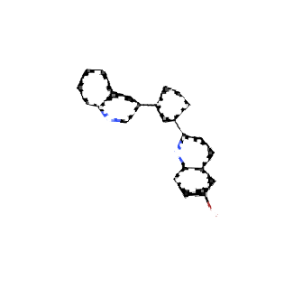 Brc1ccc2nc(-c3cccc(-c4cnc5ccccc5c4)c3)ccc2c1